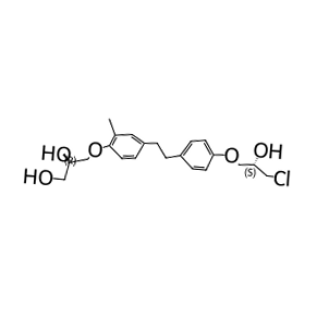 Cc1cc(CCc2ccc(OC[C@H](O)CCl)cc2)ccc1OC[C@H](O)CO